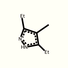 CCc1n[nH]c(CC)c1C